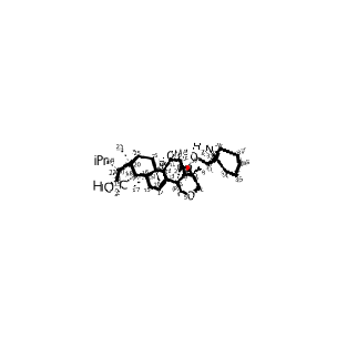 CO[C@@H]1C[C@@]23COC[C@](C)([C@@H]2CC[C@H]2C3=CC[C@@]3(C)[C@H](C(=O)O)[C@@](C)([C@H](C)C(C)C)CC[C@]23C)[C@H]1OCC1(N)CCCCC1